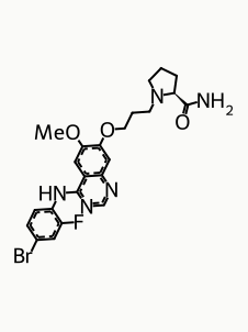 COc1cc2c(Nc3ccc(Br)cc3F)ncnc2cc1OCCCN1CCC[C@H]1C(N)=O